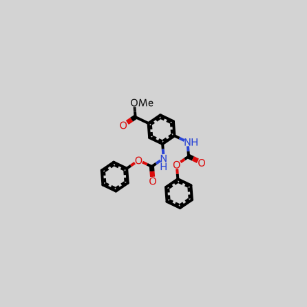 COC(=O)c1ccc(NC(=O)Oc2ccccc2)c(NC(=O)Oc2ccccc2)c1